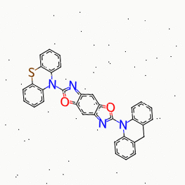 c1ccc2c(c1)Cc1ccccc1N2c1nc2cc3oc(N4c5ccccc5Sc5ccccc54)nc3cc2o1